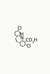 O=C(O)c1c(Cl)ccc2c1Nc1cc(Cl)ccc1C=C2